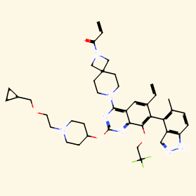 C=CC(=O)N1CC2(CCN(c3nc(OC4CCN(CCOCC5CC5)CC4)nc4c(OCC(F)(F)F)c(-c5c(C)ccc6[nH]ncc56)c(C=C)cc34)CC2)C1